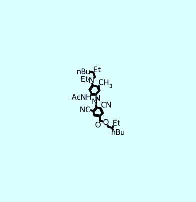 CCCCC(CC)COC(=O)c1cc(C#N)c(N=Nc2cc(C)c(N(CC)CC(CC)CCCC)cc2NC(C)=O)c(C#N)c1